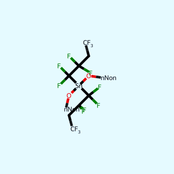 CCCCCCCCC[O][Sn]([O]CCCCCCCCC)([C](F)(F)C(F)(F)CC(F)(F)F)[C](F)(F)C(F)(F)CC(F)(F)F